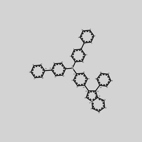 c1ccc(-c2ccc(N(c3ccc(-c4ccccc4)cc3)c3ccc(-c4cn5ccccc5c4-c4ccccc4)cc3)cc2)cc1